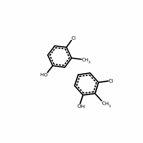 Cc1c(O)cccc1Cl.Cc1cc(O)ccc1Cl